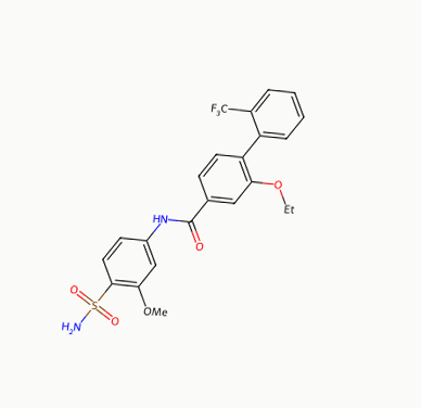 CCOc1cc(C(=O)Nc2ccc(S(N)(=O)=O)c(OC)c2)ccc1-c1ccccc1C(F)(F)F